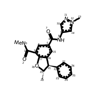 CNC(=O)c1cc(C(=O)Nc2cnn(C)c2)cc2c1O[C@@H](C)[C@@H]2c1ccccc1